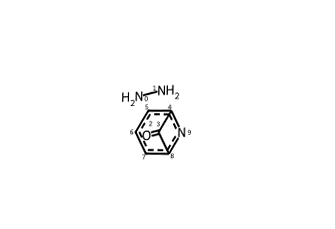 NN.O=C1c2cccc1n2